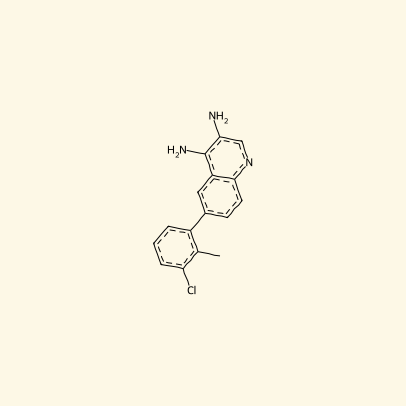 Cc1c(Cl)cccc1-c1ccc2ncc(N)c(N)c2c1